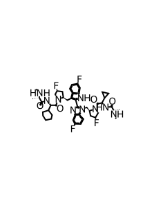 CN[C@@H](C)C(=O)NC(C(=O)N1C[C@@H](F)C[C@H]1Cc1c(-c2nc3cc(F)ccc3n2C[C@@H]2C[C@H](F)CN2C(=O)C(NC(=O)[C@H](C)NC)C2CC2)[nH]c2cc(F)ccc12)C1CCCCC1